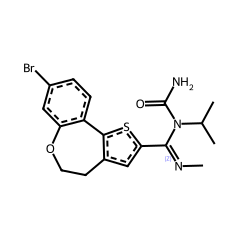 C/N=C(/c1cc2c(s1)-c1ccc(Br)cc1OCC2)N(C(N)=O)C(C)C